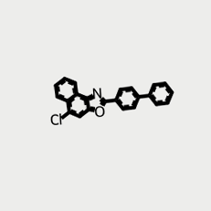 Clc1cc2oc(-c3ccc(-c4ccccc4)cc3)nc2c2ccccc12